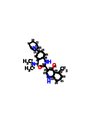 CN(C)Cc1cc(N2C3CCC2CC3)ccc1NC(=O)c1c[nH]c2cccc(C(F)(F)F)c2c1=O